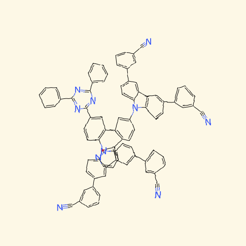 N#Cc1cccc(-c2ccc3c(c2)c2cc(-c4cccc(C#N)c4)ccc2n3-c2ccc(-c3cccnc3)c(-c3cc(-c4nc(-c5ccccc5)nc(-c5ccccc5)n4)ccc3-n3c4ccc(-c5cccc(C#N)c5)cc4c4cc(-c5cccc(C#N)c5)ccc43)c2)c1